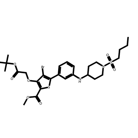 CCCCS(=O)(=O)N1CCC(Nc2cccc(-c3sc(C(=O)OC)c(OCC(=O)OC(C)(C)C)c3Br)c2)CC1